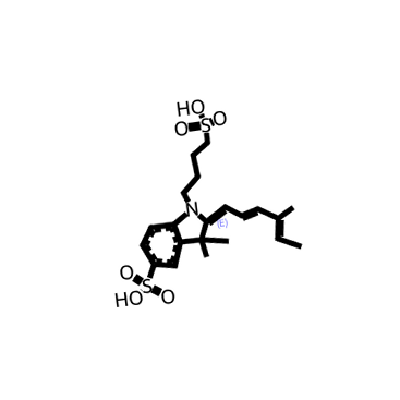 CC=C(C)C=C/C=C1/N(CCCCS(=O)(=O)O)c2ccc(S(=O)(=O)O)cc2C1(C)C